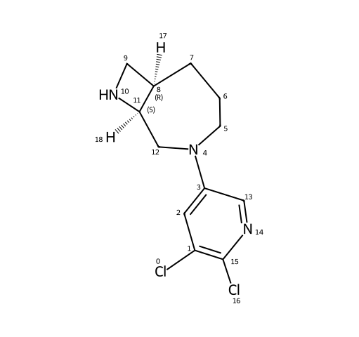 Clc1cc(N2CCC[C@@H]3CN[C@@H]3C2)cnc1Cl